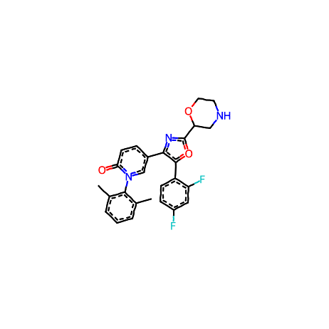 Cc1cccc(C)c1-n1cc(-c2nc(C3CNCCO3)oc2-c2ccc(F)cc2F)ccc1=O